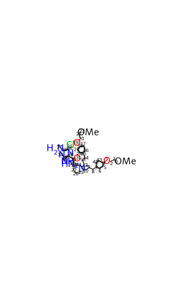 COCCOc1ccc(CCC[N+]2(CCCc3ccc(OCCOC)cc3)CCCC(NC(=O)c3nc(Cl)c(N)nc3N)C2)cc1